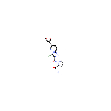 NC(=O)C1[CH]CCN1C(=O)c1nc2c(C(F)(F)F)cc(-c3ccoc3)cn2c1Cl